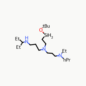 CCCN(CC)CCCN(CCCNC(CC)CC)CC[SiH2]OC(C)(C)C